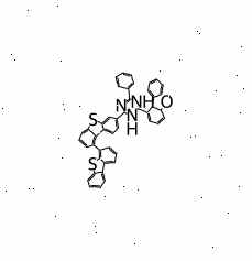 C1=CC2Oc3ccccc3C2C(C2NC(c3ccccc3)=NC(c3ccc4c(c3)sc3cccc(-c5cccc6c5sc5ccccc56)c34)N2)=C1